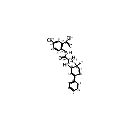 CC1(F)C=CC(c2ccccc2)=CC1NCC(=O)Nc1ccc(Cl)cc1C(=O)O